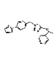 CC(Nc1ncc(Cc2ccc(-n3cccn3)cc2)s1)c1ccccc1